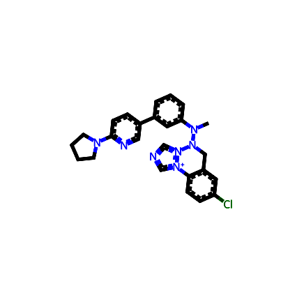 CN(c1cccc(-c2ccc(N3CCCC3)nc2)c1)N1Cc2cc(Cl)ccc2-[n+]2cncn21